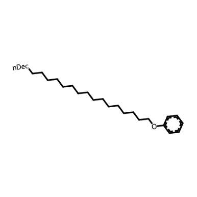 CCCCCCCCCCCCCCCCCCCCCCCCCCOc1ccccc1